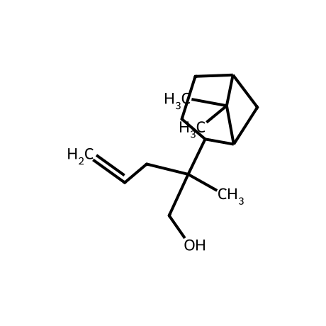 C=CCC(C)(CO)C1CCC2CC1C2(C)C